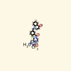 CN(C)C(C(=O)N1CCN(C(=O)c2cc(Cn3ccc(=O)c4ccccc43)ccc2F)CC1)C(F)(F)F